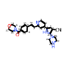 N#Cc1cc(-c2ccnc(C=Cc3ccc(C(=O)N4CCOCC4)cc3)c2)[nH]c1N1CCNCC1